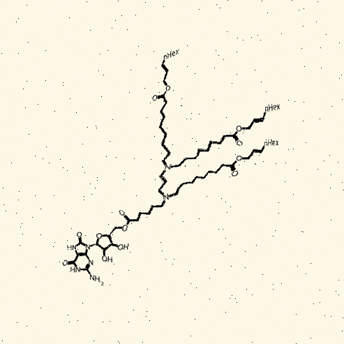 CCCCCC/C=C/COC(=O)CCCCCCCCN(CCCCCCCCC(=O)OC/C=C/CCCCCC)CCCN(CCCCCCCCC(=O)OC/C=C/CCCCCC)CCCCCC(=O)OC[C@@H]1O[C@H](n2c(=O)[nH]c3c(=O)[nH]c(N)nc32)C(O)C1O